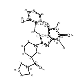 Cn1c(=O)c2c(nc(N3CCCC(C(=O)N4CCSC4)C3)n2Cc2c(F)cccc2Cl)n(C)c1=O